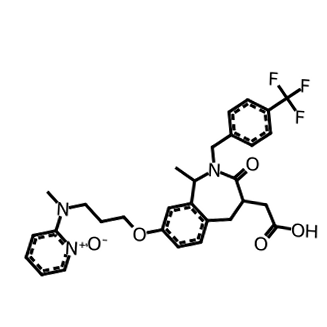 CC1c2cc(OCCCN(C)c3cccc[n+]3[O-])ccc2CC(CC(=O)O)C(=O)N1Cc1ccc(C(F)(F)F)cc1